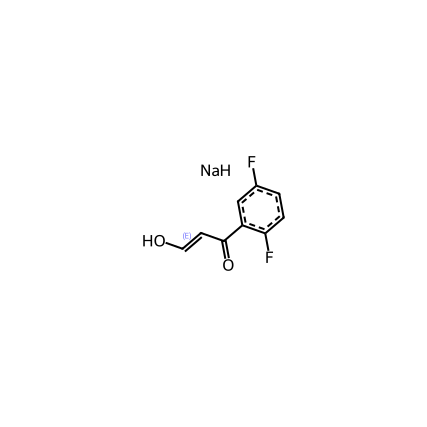 O=C(/C=C/O)c1cc(F)ccc1F.[NaH]